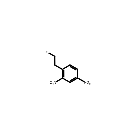 [O]CCc1ccc([N+](=O)[O-])cc1[N+](=O)[O-]